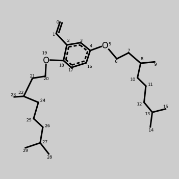 C=Cc1cc(OCCC(C)CCCC(C)C)ccc1OCCC(C)CCCC(C)C